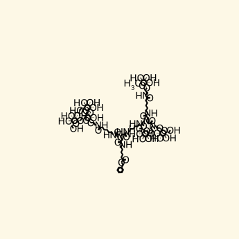 C[C@@H]1O[C@@H](OCCNC(=O)CCCCCNC(=O)CN(CC(=O)NCCCCCNC(=O)CN(CC(=O)NCCCCCC(=O)NCCO[C@H]2O[C@H](CO[C@H]3O[C@H](CO)[C@@H](O)[C@H](O)[C@@H]3O)[C@@H](O)[C@H](O[C@H]3O[C@H](CO)[C@@H](O)[C@H](O)[C@@H]3O)[C@@H]2O)CC(=O)NCCCCCC(=O)OCc2ccccc2)CC(=O)N(CCO[C@H]2O[C@H](CO)[C@@H](O)[C@H](O)[C@@H]2O)CCO[C@H]2O[C@H](CO)[C@@H](O)[C@H](O)[C@@H]2O)[C@@H](O)[C@H](O)[C@@H]1O